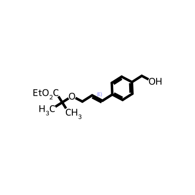 CCOC(=O)C(C)(C)OC/C=C/c1ccc(CO)cc1